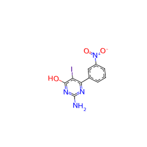 Nc1nc(O)c(I)c(-c2cccc([N+](=O)[O-])c2)n1